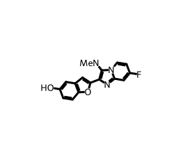 CNc1c(-c2cc3cc(O)ccc3o2)nc2cc(F)ccn12